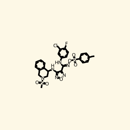 Cc1ccc(S(=O)(=O)O/N=C(\Nc2ccc(F)c(Cl)c2)c2nonc2NC2CN(S(C)(=O)=O)Cc3ccccc32)cc1